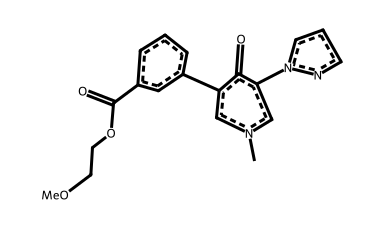 COCCOC(=O)c1cccc(-c2cn(C)cc(-n3cccn3)c2=O)c1